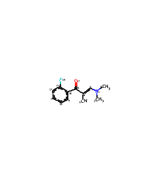 CN(C)/C=C(\C#N)C(=O)c1ccccc1F